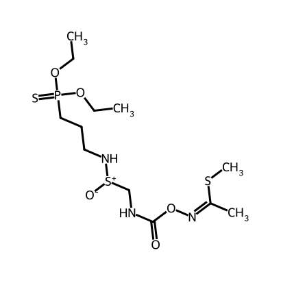 CCOP(=S)(CCCN[S+]([O-])CNC(=O)ON=C(C)SC)OCC